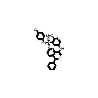 C=C(Nc1cnc(OC)c(S(=O)(=O)Nc2ccc(Cl)cc2)c1)c1ncccc1C(=O)c1ccccc1